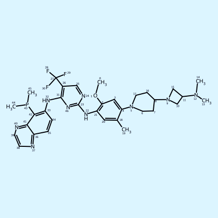 COc1cc(N2CCC(N3CC(N(C)C)C3)CC2)c(C)cc1Nc1ncc(C(F)(F)F)c(Nc2ccc3nccnc3c2P(C)C)n1